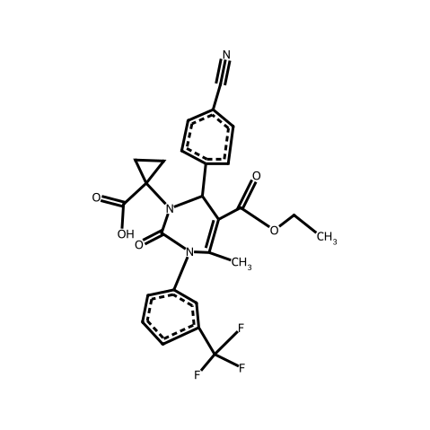 CCOC(=O)C1=C(C)N(c2cccc(C(F)(F)F)c2)C(=O)N(C2(C(=O)O)CC2)C1c1ccc(C#N)cc1